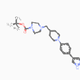 CC(C)(C)OC(=O)N1CCN(CC2CCN(c3ccc(-c4cn[nH]c4)cc3)CC2)CC1